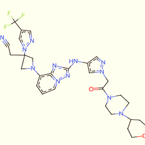 N#CCC1(n2cc(C(F)(F)F)cn2)CN(c2cccn3nc(Nc4cnn(CC(=O)N5CCN(C6CCOCC6)CC5)c4)nc23)C1